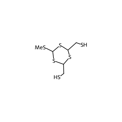 CSC1SC(CS)SC(CS)S1